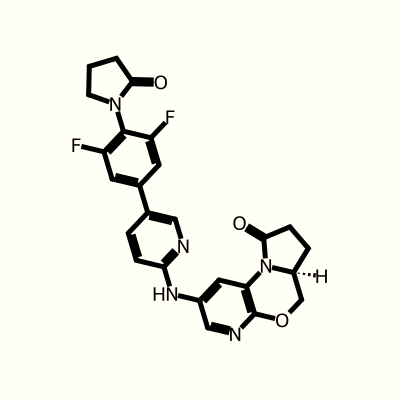 O=C1CCCN1c1c(F)cc(-c2ccc(Nc3cnc4c(c3)N3C(=O)CC[C@H]3CO4)nc2)cc1F